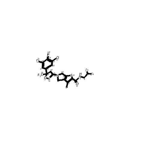 Cc1c(C(=O)NCC(F)F)sc2c1CN(C1=NOC(c3cc(Cl)c(F)c(Cl)c3)(C(F)(F)F)C1)C2